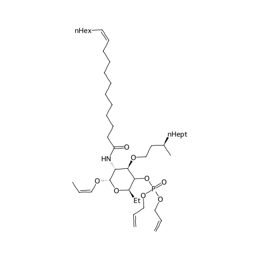 C=CCOP(=O)(OCC=C)OC1[C@@H](CC)O[C@H](O/C=C\C)[C@H](NC(=O)CCCCCCCCC/C=C\CCCCCC)[C@H]1OCC[C@H](C)CCCCCCC